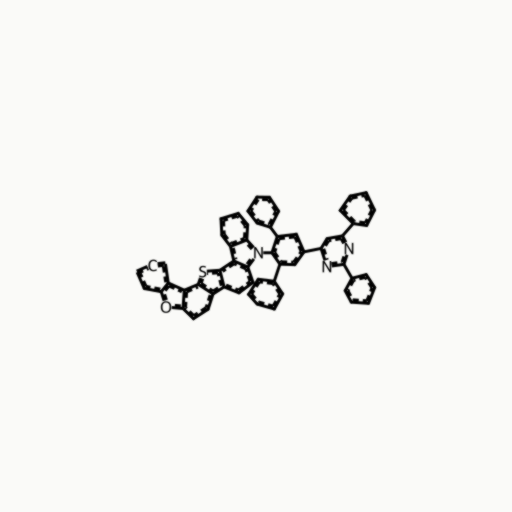 c1ccc(-c2cc(-c3cc(-c4ccccc4)c(-n4c5ccccc5c5c6sc7c(ccc8oc9ccccc9c87)c6ccc54)c(-c4ccccc4)c3)nc(-c3ccccc3)n2)cc1